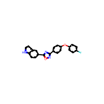 Fc1ccc(Oc2ccc(-c3noc(-c4ccc5[nH]ccc5c4)n3)cc2)cc1